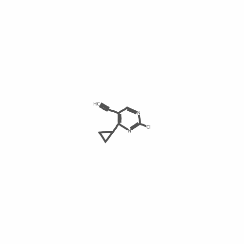 C#Cc1cnc(Cl)nc1C1CC1